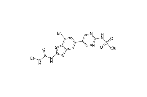 CCNC(=O)Nc1nc2cc(-c3cnc(NS(=O)(=O)C(C)(C)C)nc3)cc(Br)c2s1